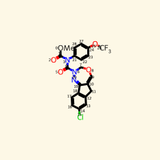 COC(=O)N(C(=O)N1COC=C2Cc3cc(Cl)ccc3C2=N1)c1ccc(OC(F)(F)F)cc1